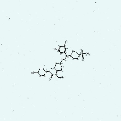 CC(=O)N1CCN(CC(=O)N(CC(C)C)C2CCN(CC[C@@H](c3cc(F)cc(F)c3)C3CCN(S(C)(=O)=O)CC3)CC2)CC1